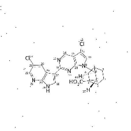 O=C(O)[C@H]1C2CCC(CC2)[C@@H]1n1cc(Cl)c2cnc(-c3c[nH]c4ncc(Cl)cc34)nc21